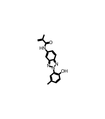 C=C(C)C(=O)Nc1ccc2nn(-c3cc(C)ccc3O)nc2c1